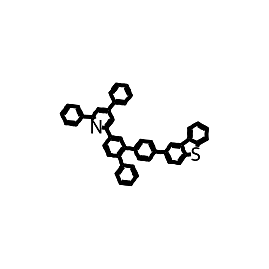 c1ccc(-c2cc(-c3ccccc3)nc(-c3ccc(-c4ccccc4)c(-c4ccc(-c5ccc6sc7ccccc7c6c5)cc4)c3)c2)cc1